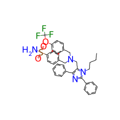 CCCCn1c(-c2ccccc2)nc(-c2ccccc2)c1CN(Cc1ccc(OC(F)(F)F)cc1)Cc1ccc(S(N)(=O)=O)cc1